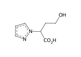 O=C(O)C(CCO)n1cccn1